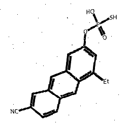 CCc1cc(OP(=O)(O)S)cc2cc3cc(C#N)ccc3cc12